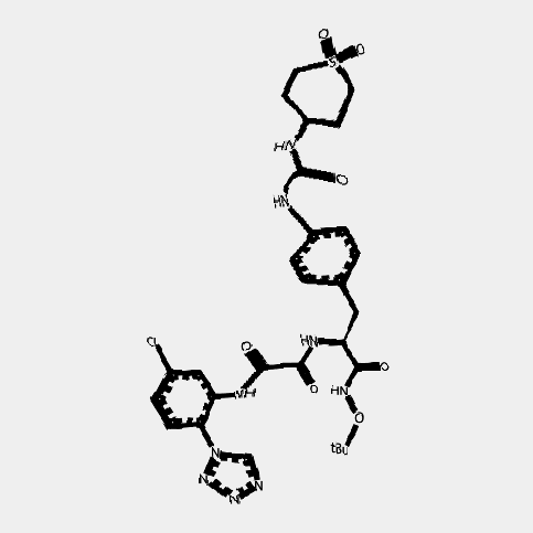 CC(C)(C)ONC(=O)[C@H](Cc1ccc(NC(=O)NC2CCS(=O)(=O)CC2)cc1)NC(=O)C(=O)Nc1cc(Cl)ccc1-n1cnnn1